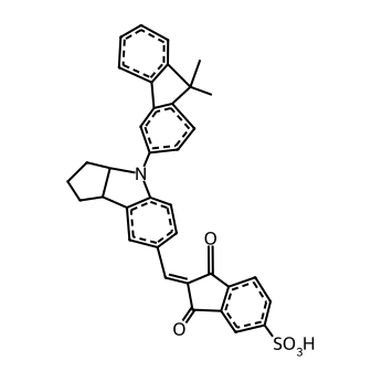 CC1(C)c2ccccc2-c2cc(N3c4ccc(/C=C5\C(=O)c6ccc(S(=O)(=O)O)cc6C5=O)cc4C4CCCC43)ccc21